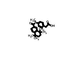 CN(C(=O)c1ccc2c(c1)C(C)(C)CCC2(C)C)c1ccc(CC(=O)O)cc1